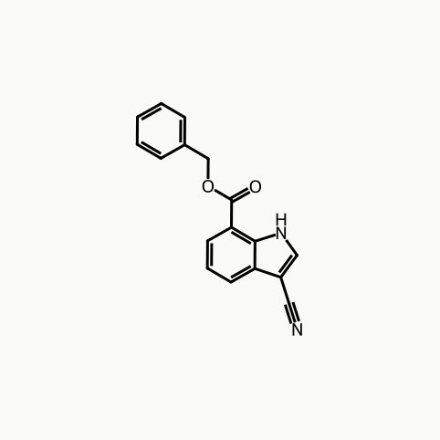 N#Cc1c[nH]c2c(C(=O)OCc3ccccc3)cccc12